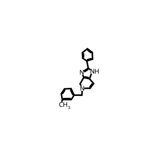 Cc1cccc(CN2C=Cc3[nH]c(-c4ccccc4)nc3C2)c1